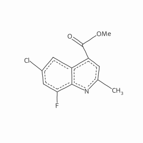 COC(=O)c1cc(C)nc2c(F)cc(Cl)cc12